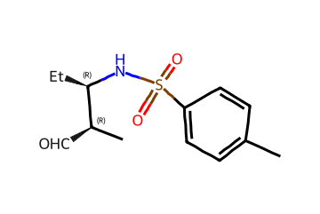 CC[C@@H](NS(=O)(=O)c1ccc(C)cc1)[C@@H](C)C=O